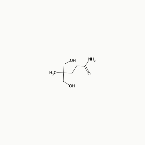 CC(CO)(CO)CCC(N)=O